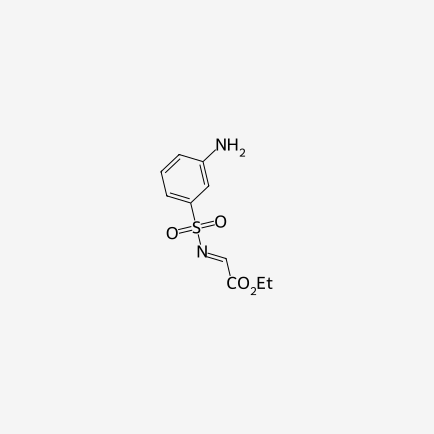 CCOC(=O)C=NS(=O)(=O)c1cccc(N)c1